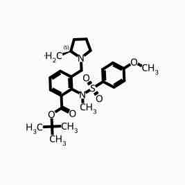 [CH2][C@H]1CCCN1Cc1cccc(C(=O)OC(C)(C)C)c1N(C)S(=O)(=O)c1ccc(OC)cc1